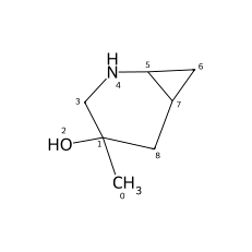 CC1(O)CNC2CC2C1